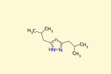 CC(C)Cc1[c]c(CC(C)C)[nH]n1